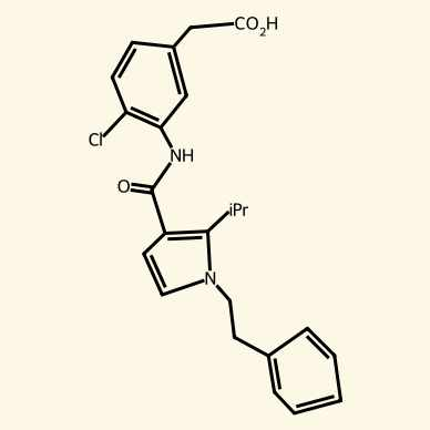 CC(C)c1c(C(=O)Nc2cc(CC(=O)O)ccc2Cl)ccn1CCc1ccccc1